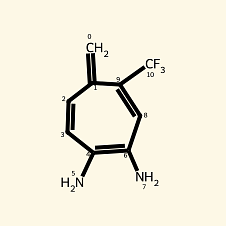 C=C1C=CC(N)=C(N)C=C1C(F)(F)F